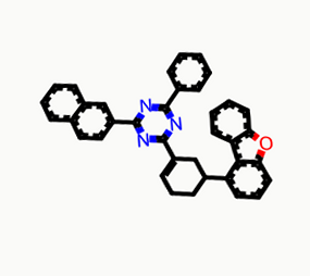 C1=C(c2nc(-c3ccccc3)nc(-c3ccc4ccccc4c3)n2)CC(c2cccc3oc4ccccc4c23)CC1